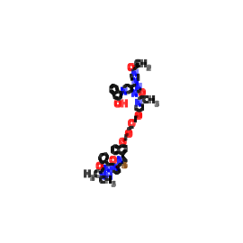 C=CC(=O)N1CCN(c2nc(OC(C)CN3CCC(OCCOCCOCCOc4ccc(-c5csc(C6CCCN6C(=O)[C@@H](NC(=O)C(C)NC)C6CCCCC6)n5)c5ccccc45)CC3)nc3c2CCN(c2cc(O)cc4ccccc24)C3)CC1